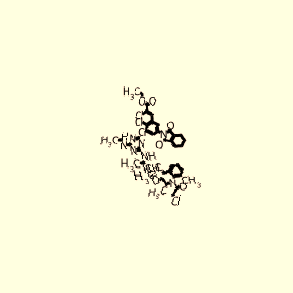 CCNc1nc(Cl)nc(NC(C)C)n1.CCOC(=O)/C(Cl)=C/c1cc(N2C(=O)C3=C(CCCC3)C2=O)ccc1Cl.CCc1cccc(C)c1N(C(=O)CCl)C(C)COC